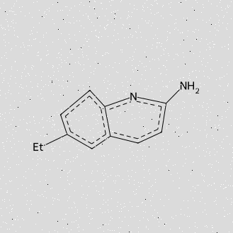 CCc1ccc2nc(N)ccc2c1